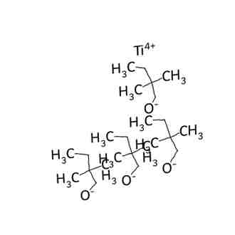 CCC(C)(C)C[O-].CCC(C)(C)C[O-].CCC(C)(C)C[O-].CCC(C)(C)C[O-].[Ti+4]